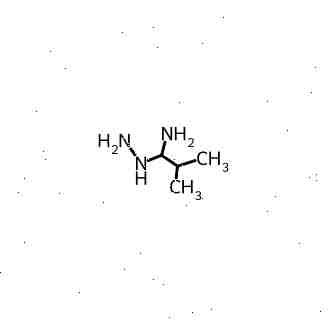 CC(C)C(N)NN